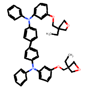 CCC1(COc2cccc(N(c3ccccc3)c3ccc(-c4ccc(N(c5ccccc5)c5cccc(OCC6(CC)COC6)c5)cc4)cc3)c2)COC1